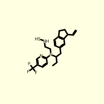 C=CC1CCc2ccc(CC(CC)N(CCNS)c3ccc(C(F)(F)F)cn3)cc21